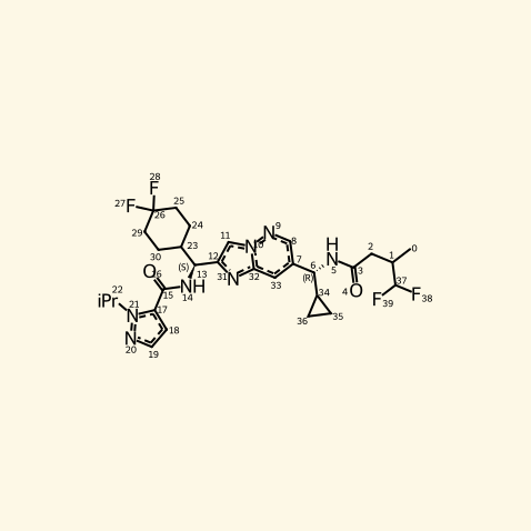 CC(CC(=O)N[C@@H](c1cnn2cc([C@@H](NC(=O)c3ccnn3C(C)C)C3CCC(F)(F)CC3)nc2c1)C1CC1)C(F)F